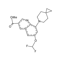 COC(=O)c1cnc2c(N3CCC4(CC3)CC4)cc(OC(F)F)cc2c1